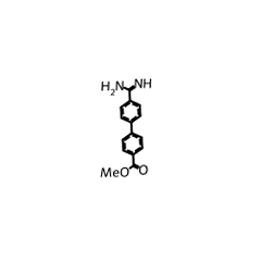 COC(=O)c1ccc(-c2ccc(C(=N)N)cc2)cc1